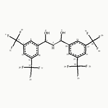 OC(NC(O)c1cc(C(F)(F)F)cc(C(F)(F)F)c1)c1cc(C(F)(F)F)cc(C(F)(F)F)c1